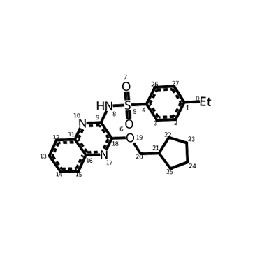 CCc1ccc(S(=O)(=O)Nc2nc3ccccc3nc2OCC2CCCC2)cc1